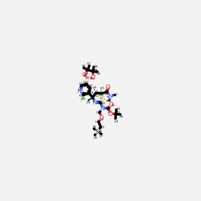 C[C@@H]1[C@@](C)(C(=O)N(C)C)SC(N(COCC[Si](C)(C)C)C(=O)OC(C)(C)C)=N[C@]1(C)c1cc(B2OC(C)(C)C(C)(C)O2)cnc1F